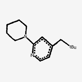 CC(C)(C)Cc1ccnc(N2CCCCC2)c1